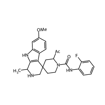 COc1ccc2c3c([nH]c2c1)C(C)NCC31CCN(C(=O)Nc2ccccc2F)C(C(C)=O)C1